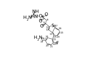 N=C(N)NOS(=O)(=O)CC(=O)c1cc2c(-c3cc(CN)ccc3F)cccc2s1